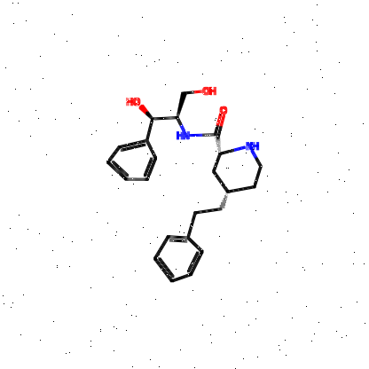 O=C(N[C@H](CO)[C@H](O)c1ccccc1)[C@H]1C[C@@H](CCc2ccccc2)CCN1